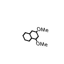 CO[C]1CC(OC)CC2CCCCC12